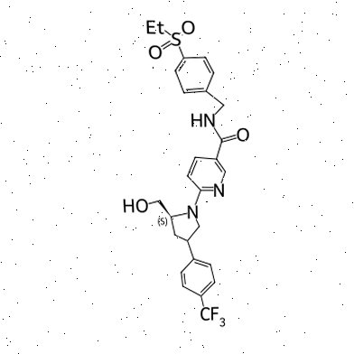 CCS(=O)(=O)c1ccc(CNC(=O)c2ccc(N3CC(c4ccc(C(F)(F)F)cc4)C[C@H]3CO)nc2)cc1